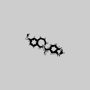 CSc1ccc2c(c1)CCCN([C@H](C)c1ccc3scnc3c1)C2